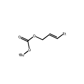 CCC=CCOC(=O)OC(C)(C)C